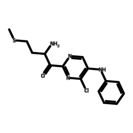 CSCCC(N)C(=O)c1ncc(Nc2ccccc2)c(Cl)n1